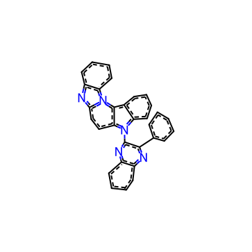 c1ccc(-c2nc3ccccc3nc2-n2c3ccccc3c3c2ccc2nc4ccccc4n23)cc1